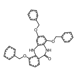 O=C1Nc2c(cc(OCc3ccccc3)cc2OCc2ccccc2)Nc2c(OCc3ccccc3)cccc21